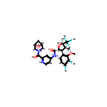 COc1c([C@H]2[C@H](C(=O)Nc3ccnc(C(=O)N4CC5CC(C4)O5)c3)O[C@@](C)(C(F)(F)F)[C@H]2C)ccc(F)c1F